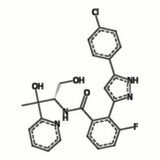 CC(O)(c1ccccn1)[C@H](CO)NC(=O)c1cccc(F)c1-c1cc(-c2ccc(Cl)cc2)[nH]n1